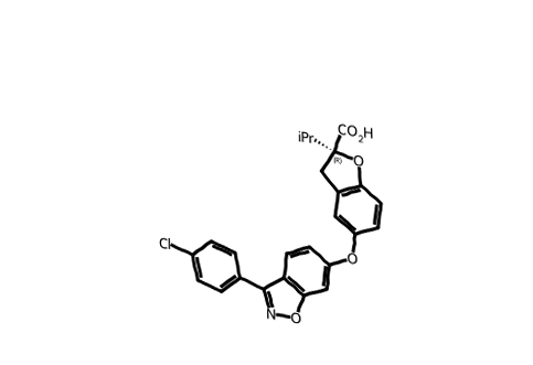 CC(C)[C@@]1(C(=O)O)Cc2cc(Oc3ccc4c(-c5ccc(Cl)cc5)noc4c3)ccc2O1